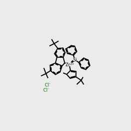 CC1C=C(C(C)(C)C)C=[C]1[Zr+2]([CH]1c2ccc(C(C)(C)C)cc2-c2cc(C(C)(C)C)ccc21)=[Si](c1ccccc1)c1ccccc1.[Cl-].[Cl-]